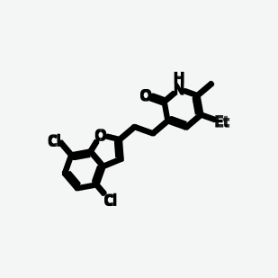 CCc1cc(CCc2cc3c(Cl)ccc(Cl)c3o2)c(=O)[nH]c1C